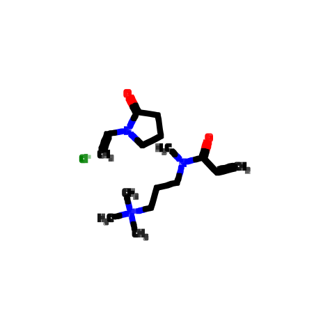 C=CC(=O)N(C)CCC[N+](C)(C)C.C=CN1CCCC1=O.[Cl-]